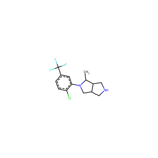 CC1C2CNCC2CN1c1cc(C(F)(F)F)ccc1Cl